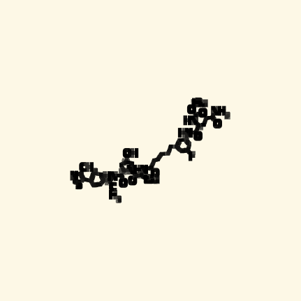 Cc1ncsc1-c1ccc([C@H](C)NC(=O)[C@@H]2C[C@@H](O)CN2C(=O)[C@@H](NC(=O)CCCCCc2cc(F)cc(NC(=O)[C@H](CCC(N)=O)NC(=O)OC(C)(C)C)c2)C(C)(C)C)cc1